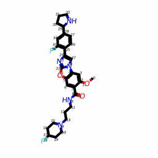 COc1cc2c(cc1C(=O)NCCCN1CCC(F)CC1)oc1nc(-c3ccc(C4CCCN4)cc3F)cn12